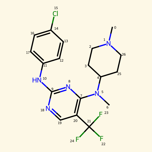 CN1CCC(N(C)c2nc(Nc3ccc(Cl)cc3)ncc2C(F)(F)F)CC1